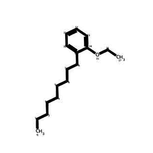 CCCCCCCCCc1ccccc1OCC